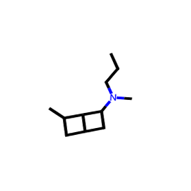 CCCN(C)C1CC2CC(C)C21